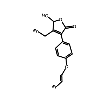 CC(C)C=COc1ccc(C2=C(CC(C)C)C(O)OC2=O)cc1